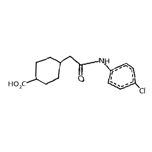 O=C(CC1CCC(C(=O)O)CC1)Nc1ccc(Cl)cc1